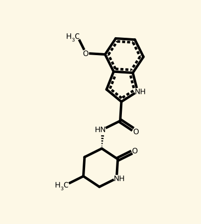 COc1cccc2[nH]c(C(=O)N[C@H]3CC(C)CNC3=O)cc12